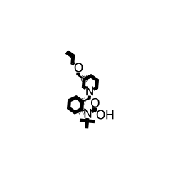 C=CCOC[C@H]1CCCN(C[C@@H]2CCCC[C@H]2N(C(=O)O)C(C)(C)C)C1